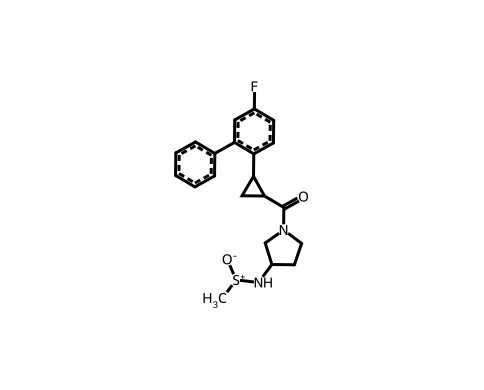 C[S+]([O-])NC1CCN(C(=O)C2CC2c2ccc(F)cc2-c2ccccc2)C1